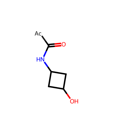 CC(=O)C(=O)NC1CC(O)C1